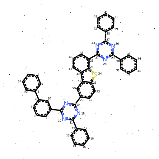 c1ccc(-c2cccc(-c3nc(-c4ccccc4)nc(-c4ccc5sc6c(-c7nc(-c8ccccc8)nc(-c8ccccc8)n7)cccc6c5c4)n3)c2)cc1